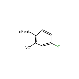 CCCCCc1ccc(F)cc1C#N